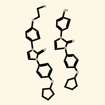 O=c1n(-c2ccc(O)cc2)ccn1-c1ccc(OC2CCCC2)cc1.O=c1n(-c2ccc(OCCBr)cc2)ccn1-c1ccc(OC2CCCC2)cc1